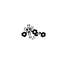 Cc1cn(Cc2ccccc2)c2ccc(-n3c(=O)[nH]c(=O)n(-c4ccccc4)c3=O)cc12